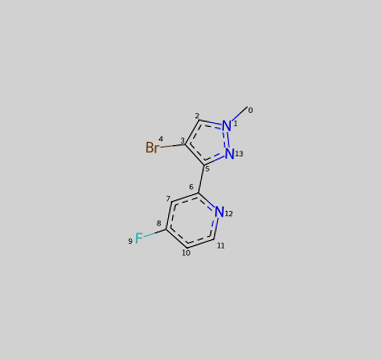 Cn1cc(Br)c(-c2cc(F)ccn2)n1